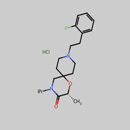 CC(C)N1CC2(CCN(CCc3ccccc3F)CC2)O[C@H](C)C1=O.Cl